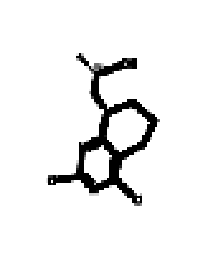 C[C@H](O)CN1CCCc2c(Cl)nc(Cl)nc21